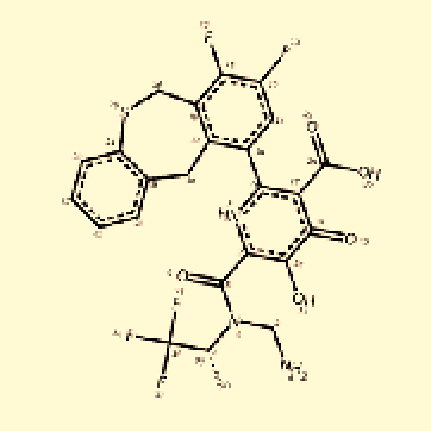 C[C@@H](N(CN)C(=O)c1[nH]c(-c2cc(F)c(F)c3c2Cc2ccccc2SC3)c(C(=O)O)c(=O)c1O)C(F)(F)F